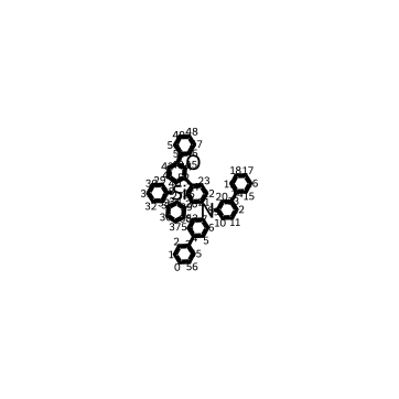 c1ccc(-c2ccc(N(c3cccc(-c4ccccc4)c3)c3ccc4c(c3)[Si](c3ccccc3)(c3ccccc3)c3ccc5c(oc6ccccc65)c3-4)cc2)cc1